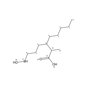 CCCCCC(CCCBO)C(C)C(=O)O